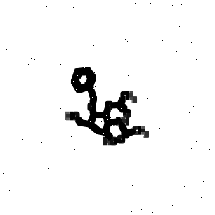 CC(=O)NC1C(O)CC(CO)C(OCc2ccccc2)C1OC(C)=O